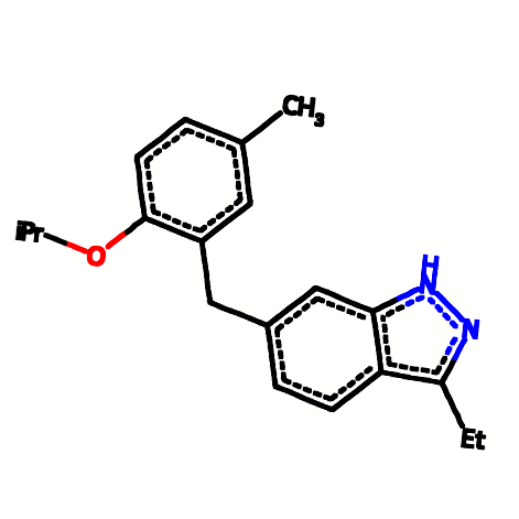 CCc1n[nH]c2cc(Cc3cc(C)ccc3OC(C)C)ccc12